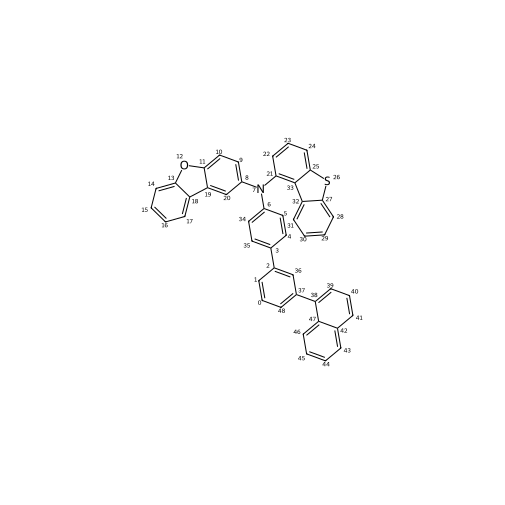 c1cc(-c2ccc(N(c3ccc4oc5ccccc5c4c3)c3cccc4sc5ccccc5c34)cc2)cc(-c2cccc3ccccc23)c1